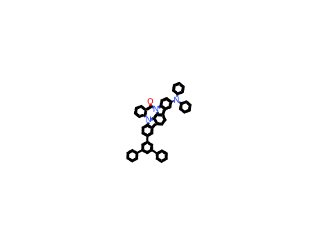 O=c1c2ccccc2n2c3ccc(-c4cc(-c5ccccc5)cc(-c5ccccc5)c4)cc3c3ccc4c5cc(N(c6ccccc6)c6ccccc6)ccc5n1c4c32